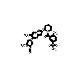 Cc1ccc(S(C)(=O)=O)cc1C(=O)N1CCCC[C@H]1c1cc2nc(N3C[C@@H](C#N)[C@@H](C)C3)c(C)cn2n1